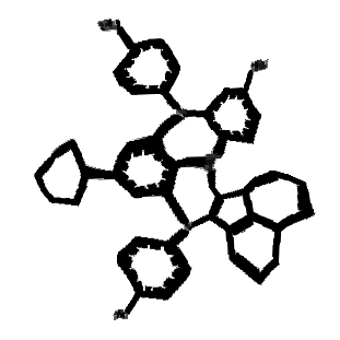 CC(C)(C)c1ccc(N2C3=C(B4c5ccc(C(C)(C)C)cc5N(c5ccc(C(C)(C)C)cc5)c5cc(C6CCCCC6)cc2c54)C2=CC=CC4CC=CC3=C24)cc1